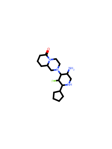 NC1CNC(C2CCCC2)C(F)C1N1CCN2C(=O)CCCC2C1